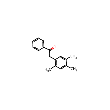 Cc1cc(C)c(CC(=O)c2ccccc2)cc1C